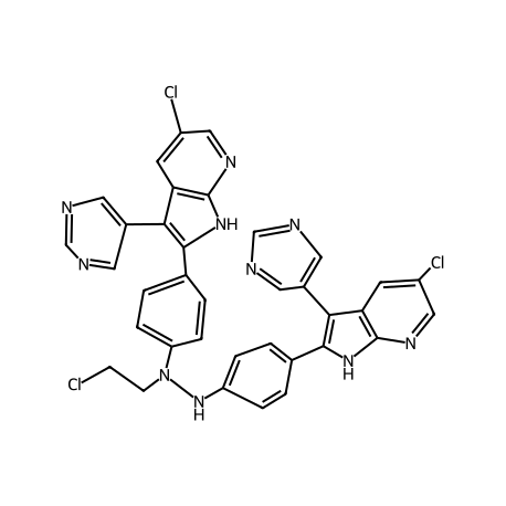 ClCCN(Nc1ccc(-c2[nH]c3ncc(Cl)cc3c2-c2cncnc2)cc1)c1ccc(-c2[nH]c3ncc(Cl)cc3c2-c2cncnc2)cc1